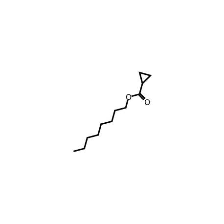 CCCCCCCCOC(=O)C1CC1